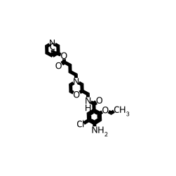 CCOc1cc(N)c(Cl)cc1C(=O)NCC1CN(CCCC(=O)OC2CN3CCC2CC3)CCO1